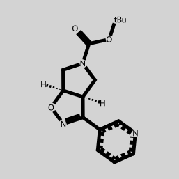 CC(C)(C)OC(=O)N1C[C@@H]2ON=C(c3cccnc3)[C@@H]2C1